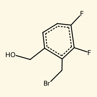 OCc1ccc(F)c(F)c1CBr